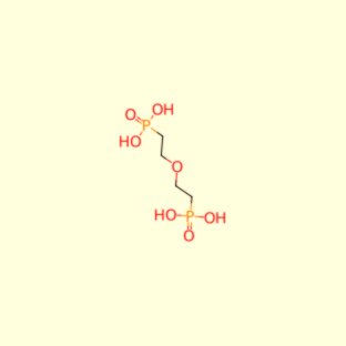 O=P(O)(O)CCOCCP(=O)(O)O